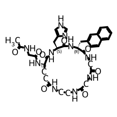 CC(=O)NCC(=O)N[C@H]1CCC(=O)NCCNC(=O)CNC(=O)CNC(=O)[C@@H](Cc2ccc3ccccc3c2)NC(=O)[C@H](Cc2c[nH]cn2)NC1=O